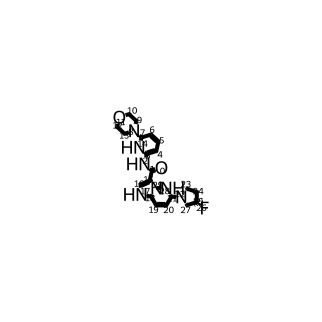 O=C(NC1=CC=CC(N2CCOCC2)N1)C1=CNC2C=CC(N3CC[C@@H](F)C3)NN12